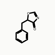 O=C1N=COC1Cc1ccccc1